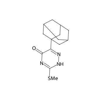 CSc1nc(=O)c(C23CC4CC(CC(C4)C2)C3)n[nH]1